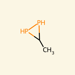 CC1PP1